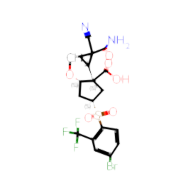 CO[C@H]1C[C@@H](S(=O)(=O)c2ccc(Br)cc2C(F)(F)F)C[C@]1(C(=O)O)C1CC1(C#N)C(N)=O